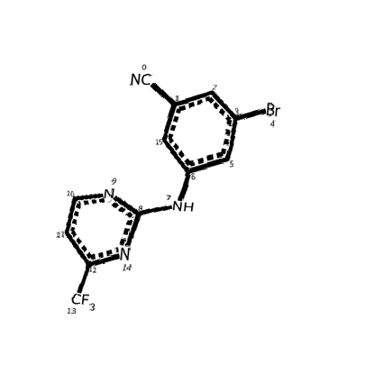 N#Cc1cc(Br)cc(Nc2nccc(C(F)(F)F)n2)c1